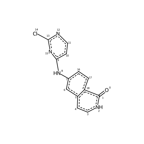 O=c1[nH]ccc2cc(Nc3ccnc(Cl)n3)ccc12